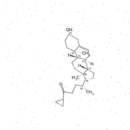 C[C@H](CCC(=O)C1CC1)[C@H]1CC[C@H]2[C@@H]3CC=C4C[C@@H](O)CC[C@]4(C)[C@H]3CC[C@]12C